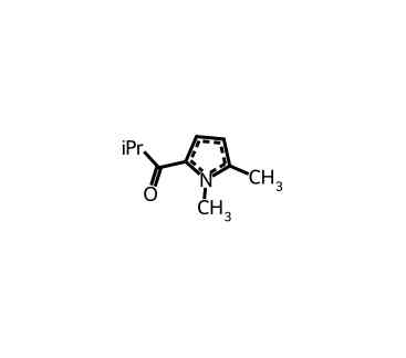 Cc1ccc(C(=O)C(C)C)n1C